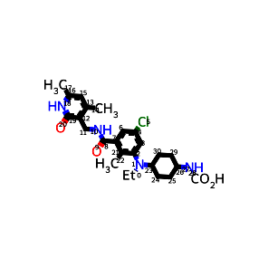 CCN(c1cc(Cl)cc(C(=O)NCc2c(C)cc(C)[nH]c2=O)c1C)C1CCC(NC(=O)O)CC1